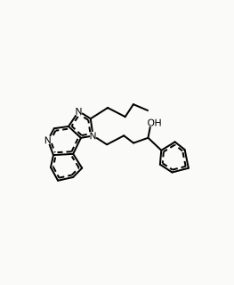 CCCCc1nc2cnc3ccccc3c2n1CCCC(O)c1ccccc1